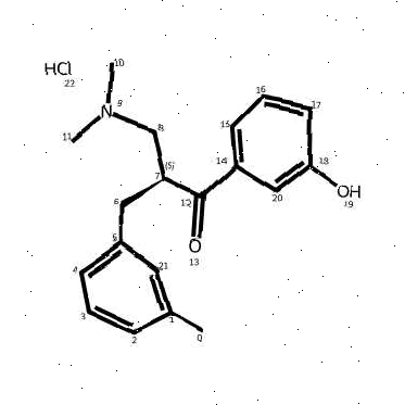 Cc1cccc(C[C@@H](CN(C)C)C(=O)c2cccc(O)c2)c1.Cl